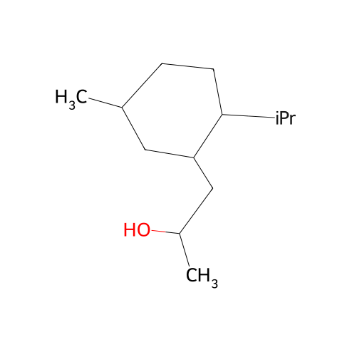 CC(O)CC1CC(C)CCC1C(C)C